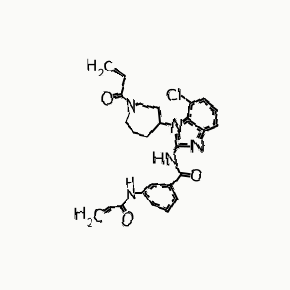 C=CC(=O)Nc1cccc(C(=O)Nc2nc3cccc(Cl)c3n2C2CCCN(C(=O)C=C)CC2)c1